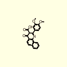 COc1ccc(C2=Nc3c(ccc4ccccc34)C(=O)C2C(=O)O)cc1OC